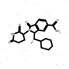 C[C@@H](C1CCCCC1)C1c2cc(C(N)=O)ccc2C(=O)N1C1CCC(=O)NC1=O